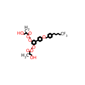 C=C(CO)C(=O)OCOc1cc(OCOC(=O)C(=C)CO)cc(-c2ccc(OCc3ccc(CCCCC(F)(F)F)cc3)cc2)c1